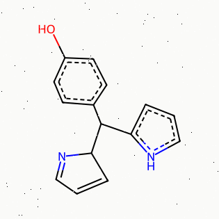 Oc1ccc(C(c2ccc[nH]2)C2C=CC=N2)cc1